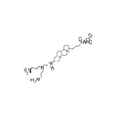 COC(=O)CNC(=O)CCCC1CCC2C3CCC4CC(NCCCN(CCCN)CCCN)CCC4(C)C3CCC12C